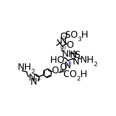 C[n+]1cc(-c2ccc(OC[C@H](O/N=C(/c3nsc(N)n3)C(O)NC[C@@H]3C(=O)N(OS(=O)(=O)O)C3(C)C)C(=O)O)cc2)cn1CCCN